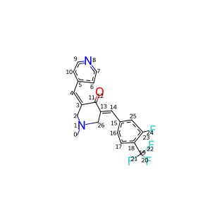 CN1CC(=Cc2ccncc2)C(=O)/C(=C/c2ccc(C(F)(F)F)c(F)c2)C1